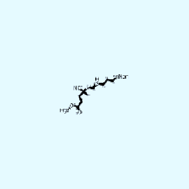 BOC(=O)CCC(C)(C#N)SC=[SH]CCCCCCCCCCCC